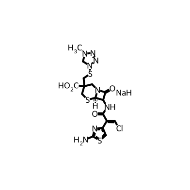 CN1CN(SCC2(C(=O)O)CS[C@@H]3C(NC(=O)C(=CCl)c4csc(N)n4)C(=O)N3C2)N=N1.[NaH]